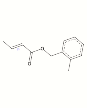 C/C=C/C(=O)OCc1ccccc1C